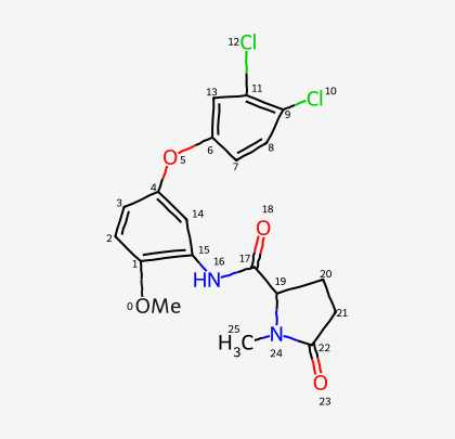 COc1ccc(Oc2ccc(Cl)c(Cl)c2)cc1NC(=O)C1CCC(=O)N1C